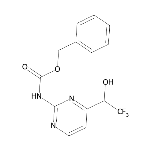 O=C(Nc1nccc(C(O)C(F)(F)F)n1)OCc1ccccc1